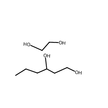 CCCC(O)CCO.OCCO